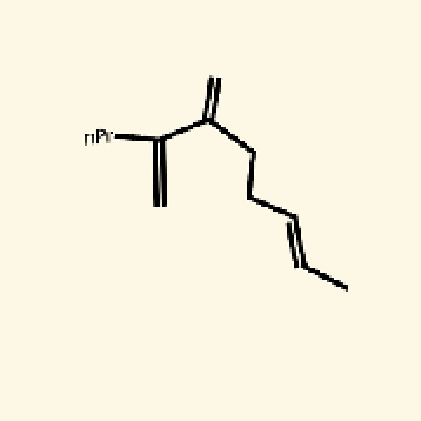 C=C(CCC)C(=C)CC/C=C/C